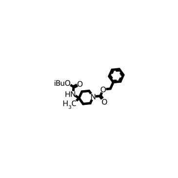 CC(C)COC(=O)NC1(C)CCN(C(=O)OCc2ccccc2)CC1